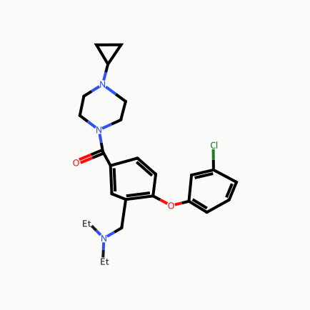 CCN(CC)Cc1cc(C(=O)N2CCN(C3CC3)CC2)ccc1Oc1cccc(Cl)c1